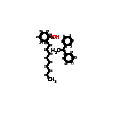 C=C(c1ccccc1)c1ccccc1.CCCCCCCCCc1ccccc1O